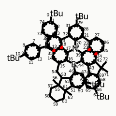 CC(C)(C)c1ccc(N(c2ccc(C(C)(C)C)cc2)c2cc3c4c(c2)N(c2c(-c5ccccc5)cc(C(C)(C)C)cc2-c2ccccc2)c2ccc5c(c2B4c2cc(C(C)(C)C)cc4c2C(C3)C2(C)CCCCC42C)-c2ccc(C(C)(C)C)cc2C5(C)C)cc1